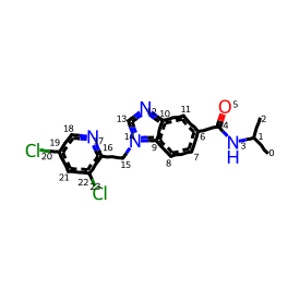 CC(C)NC(=O)c1ccc2c(c1)ncn2Cc1ncc(Cl)cc1Cl